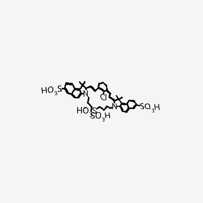 CC1(C)C(=CC=C2CCCC(C=CC3N(CCCCS(=O)(=O)O)c4ccc5cc(S(=O)(=O)O)ccc5c4C3(C)C)=C2Cl)N(CCCCS(=O)(=O)O)c2ccc3cc(S(=O)(=O)O)ccc3c21